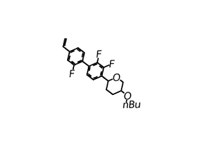 C=Cc1ccc(-c2ccc(C3CCC(OCCCC)CO3)c(F)c2F)c(F)c1